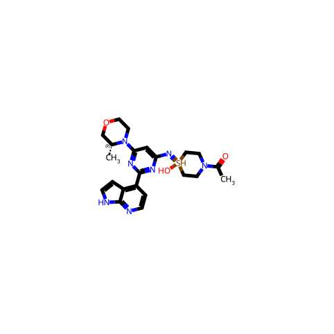 CC(=O)N1CC[SH](O)(=Nc2cc(N3CCOC[C@H]3C)nc(-c3ccnc4[nH]ccc34)n2)CC1